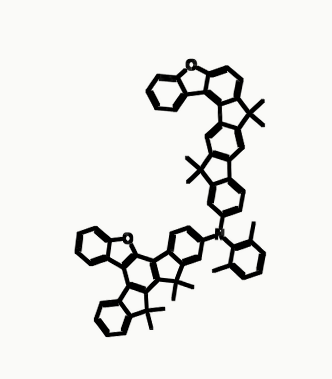 Cc1cccc(C)c1N(c1ccc2c(c1)C(C)(C)c1cc3c(cc1-2)C(C)(C)c1ccc2oc4ccccc4c2c1-3)c1ccc2c(c1)C(C)(C)c1c3c(c4c(oc5ccccc54)c1-2)-c1ccccc1C3(C)C